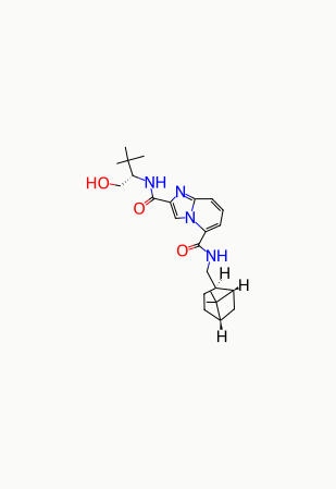 CC(C)(C)[C@@H](CO)NC(=O)c1cn2c(C(=O)NC[C@@H]3CC[C@H]4C[C@@H]3C4(C)C)cccc2n1